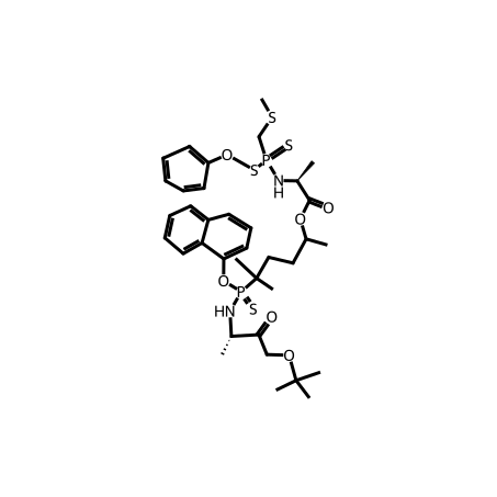 CSCP(=S)(N[C@@H](C)C(=O)OC(C)CCC(C)(C)P(=S)(N[C@@H](C)C(=O)COC(C)(C)C)Oc1cccc2ccccc12)SOc1ccccc1